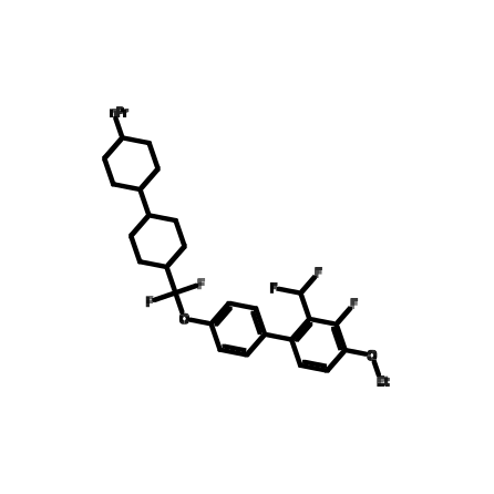 CCCC1CCC(C2CCC(C(F)(F)Oc3ccc(-c4ccc(OCC)c(F)c4C(F)F)cc3)CC2)CC1